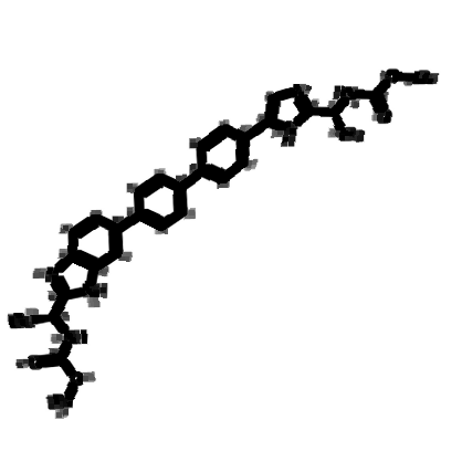 CC(C)(C)OC(=O)N[C@H](c1ncc(-c2ccc(-c3ccc(-c4ccc5nc([C@@H](NC(=O)OC(C)(C)C)C(C)(C)C)[nH]c5c4)cc3)cc2)[nH]1)C(C)(C)C